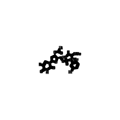 CCC(=O)O[C@H]1CC(n2cc(F)c(=O)[nH]c2=O)O[C@@H]1COP(=O)(NC(C)C(OC)OC)Oc1cccc(CC)c1